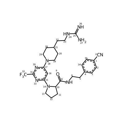 N#Cc1ccc(CCNC(=O)C2CCCN2c2cc(N3CCC(CCNC(=N)N)CC3)nc(C(F)(F)F)n2)cc1